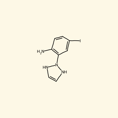 Nc1ccc(I)cc1N1NC=CN1